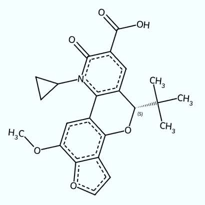 COc1cc2c(c3ccoc13)O[C@@H](C(C)(C)C)c1cc(C(=O)O)c(=O)n(C3CC3)c1-2